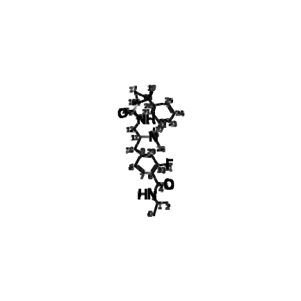 CC(C)NC(=O)c1ccc(CC(CNC(=O)[C@@H]2C[C@]2(C)c2ccccc2)N(C)C)cc1F